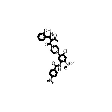 Cc1onc(-c2ccccc2O)c1C(=O)N1CCN(c2cc(NC(=O)c3ccc(N(C)C)cc3)c([N+](=O)[O-])cc2Cl)CC1